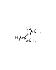 [CH2]C(SC)SCC(C)C